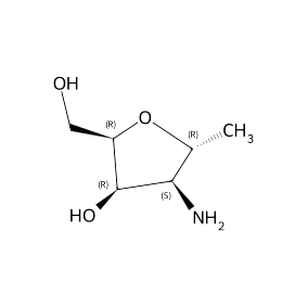 C[C@H]1O[C@H](CO)[C@H](O)[C@@H]1N